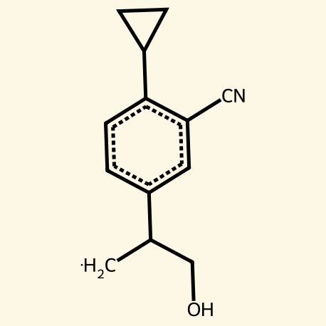 [CH2]C(CO)c1ccc(C2CC2)c(C#N)c1